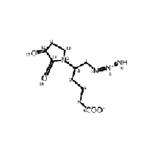 N=[N+]=NCC(CCCC(=O)[O-])N1CCC(=O)C1=O